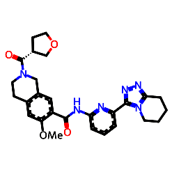 COc1cc2c(cc1C(=O)Nc1cccc(-c3nnc4n3CCCC4)n1)CN(C(=O)[C@@H]1CCOC1)CC2